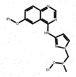 CCOP(C)Cn1ccc(Nc2ncnc3ccc(OC(C)C)cc23)n1